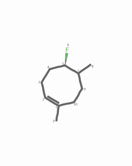 C/C1=C/CC[C@@H](F)C(C)CC1